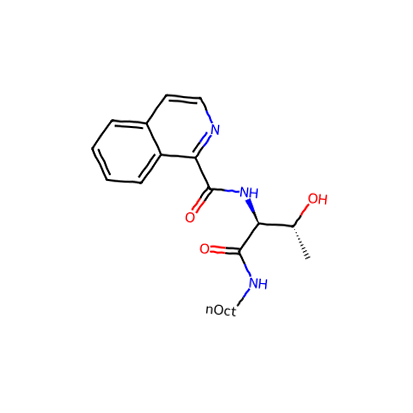 CCCCCCCCNC(=O)[C@@H](NC(=O)c1nccc2ccccc12)[C@@H](C)O